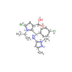 Cc1cc(NC(c2ccc(Cl)cc2)c2c(C(=O)O)cc(Br)n2C(C)C)n(C)n1